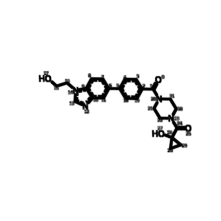 O=C(c1ccc(-c2ccc3c(c2)ncn3CCO)cc1)N1CCN(C(=O)C2(O)CC2)CC1